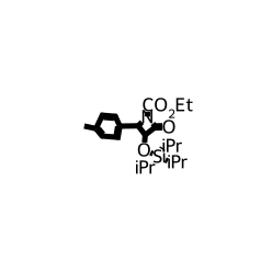 CCOC(=O)N1C(=O)C(O[Si](C(C)C)(C(C)C)C(C)C)C1c1ccc(C)cc1